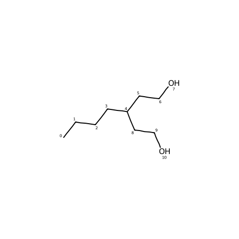 CCCCC(CCO)CCO